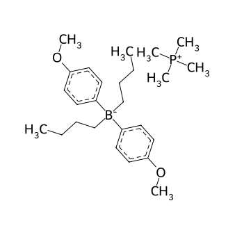 CCCC[B-](CCCC)(c1ccc(OC)cc1)c1ccc(OC)cc1.C[P+](C)(C)C